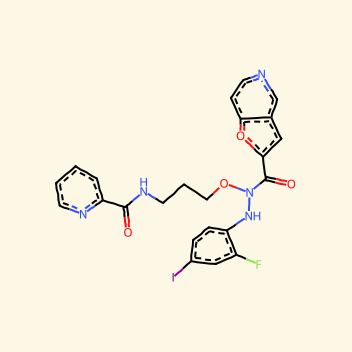 O=C(NCCCON(Nc1ccc(I)cc1F)C(=O)c1cc2cnccc2o1)c1ccccn1